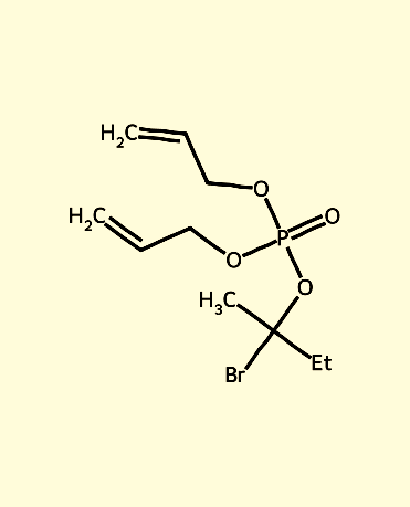 C=CCOP(=O)(OCC=C)OC(C)(Br)CC